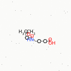 CC1(C)Cc2cccc(C(=O)NCCc3ccc(-c4ccc(C(=O)O)cc4)cc3)c2O1